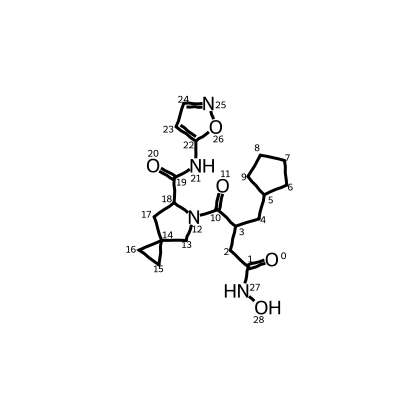 O=C(CC(CC1CCCC1)C(=O)N1CC2(CC2)CC1C(=O)Nc1ccno1)NO